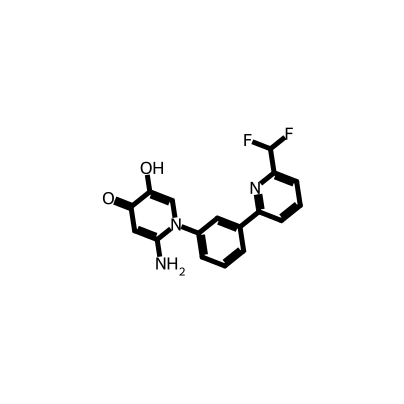 Nc1cc(=O)c(O)cn1-c1cccc(-c2cccc(C(F)F)n2)c1